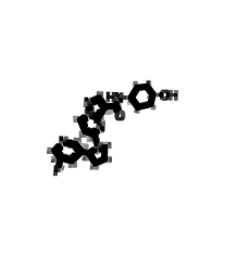 O=C(N[C@H]1CC[C@@H](O)CC1)c1cnn2ccc(N3CCCC3c3cncc(F)c3)nc12